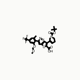 COCOc1cc(C(F)(F)F)cc(C)c1-c1cc2oc(C(=O)O)c(C3=CCCN(C(=O)OC(C)(C)C)C3)c2nn1